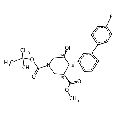 COC(=O)[C@H]1CN(C(=O)OC(C)(C)C)C[C@@H](O)[C@@H]1c1cccc(-c2ccc(F)cc2)c1